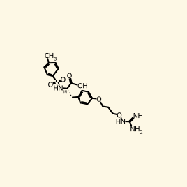 Cc1ccc(S(=O)(=O)N[C@@H](Cc2ccc(OCCCONC(=N)N)cc2)C(=O)O)cc1